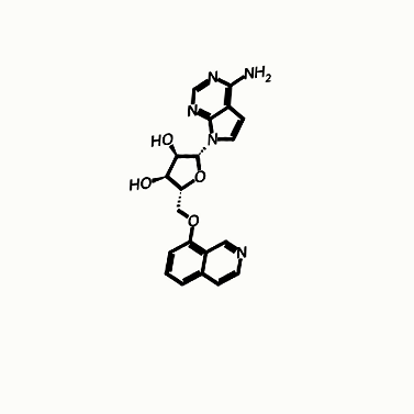 Nc1ncnc2c1ccn2[C@@H]1O[C@H](COc2cccc3ccncc23)[C@@H](O)[C@H]1O